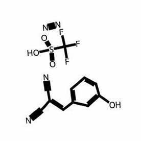 N#CC(C#N)=Cc1cccc(O)c1.N#N.O=S(=O)(O)C(F)(F)F